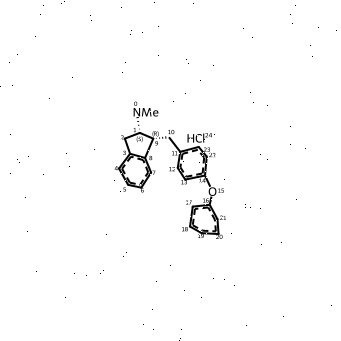 CN[C@H]1Cc2ccccc2[C@H]1Cc1ccc(Oc2ccccc2)cc1.Cl